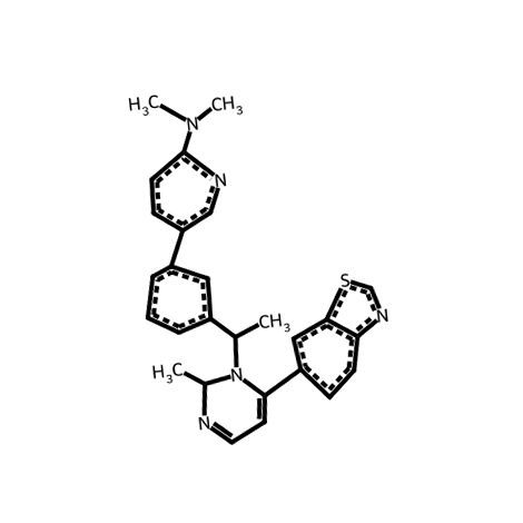 CC1N=CC=C(c2ccc3ncsc3c2)N1C(C)c1cccc(-c2ccc(N(C)C)nc2)c1